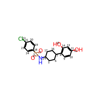 O=S(=O)(NC1CCC(c2ccc(O)cc2O)CC1)c1ccc(Cl)cc1